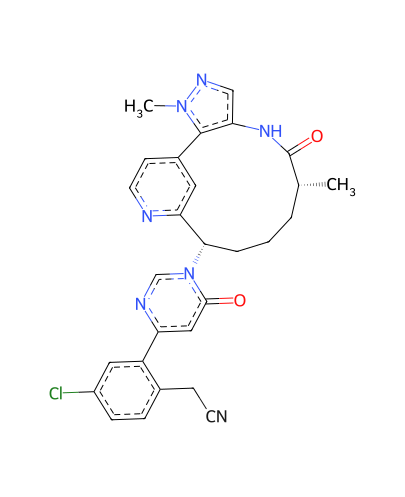 C[C@@H]1CCC[C@H](n2cnc(-c3cc(Cl)ccc3CC#N)cc2=O)c2cc(ccn2)-c2c(cnn2C)NC1=O